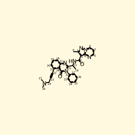 Cc1nn2cccnc2c1C(=O)NC(C)c1nc2cccc(C#CCN(C)C)c2c(=O)n1-c1ccccc1